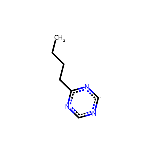 CCCCc1n[c]ncn1